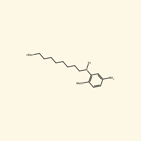 CCCCCCCCCCCCCCCCCCN(CC)c1cc(N)ccc1OC